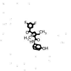 CCc1cc(C(=O)c2cc(F)cc(F)c2)n(C)c1C(=O)NC1C2CC3CC1CC(O)(C3)C2